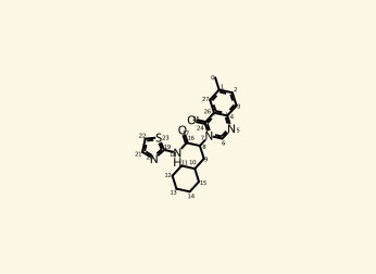 Cc1ccc2ncn(C(CC3CCCCC3)C(=O)Nc3nccs3)c(=O)c2c1